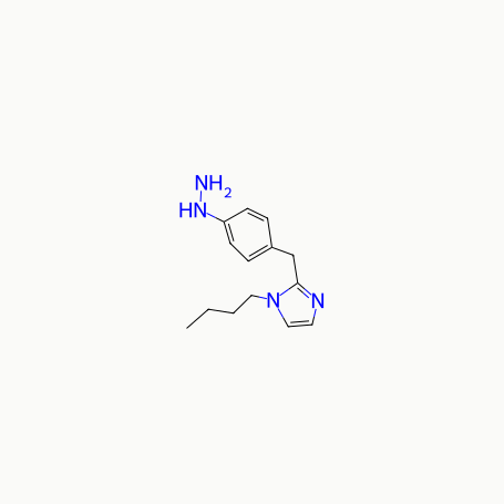 CCCCn1ccnc1Cc1ccc(NN)cc1